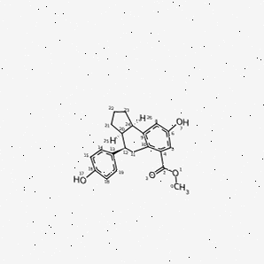 COC(=O)c1cc(O)cc2c1C[C@@H](c1ccc(O)cc1)[C@H]1CCC[C@@H]21